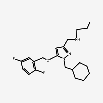 CCCNCc1cc(OCc2cc(F)ccc2F)n(CC2CCCCC2)n1